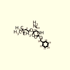 CS(C)(C)CCOC(=O)[C@H](CN)NC(=O)OCc1ccccc1